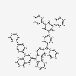 c1ccc(-c2ccc(-c3nc(-n4c5ccccc5c5c6c7ccccc7n(-c7ccc(-c8nc(-c9ccccc9)nc(-c9ccccc9)n8)cc7)c6ccc54)nc4ccccc34)cc2)cc1